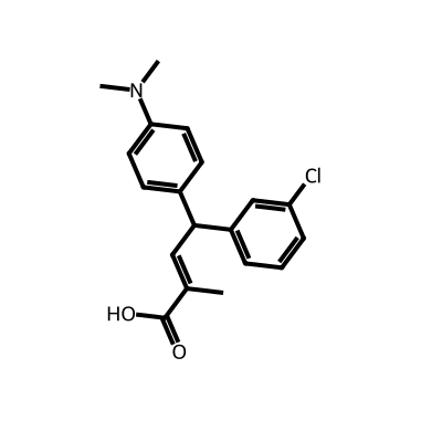 C/C(=C\C(c1ccc(N(C)C)cc1)c1cccc(Cl)c1)C(=O)O